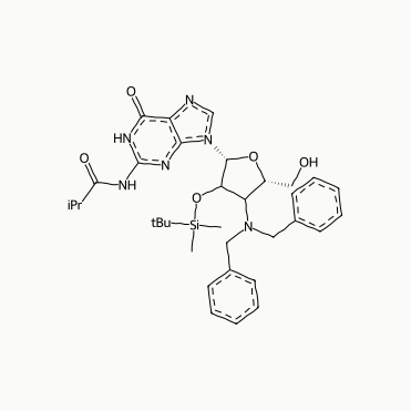 CC(C)C(=O)Nc1nc2c(ncn2[C@@H]2O[C@H](CO)C(N(Cc3ccccc3)Cc3ccccc3)C2O[Si](C)(C)C(C)(C)C)c(=O)[nH]1